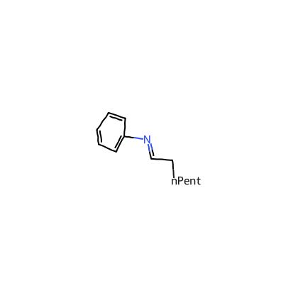 CCCCCCC=Nc1ccccc1